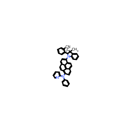 CC1(C)c2ccccc2N(c2ccc3ccc4c(N(c5ccccc5)c5ccccn5)ccc5ccc2c3c54)C1c1ccccc1C#N